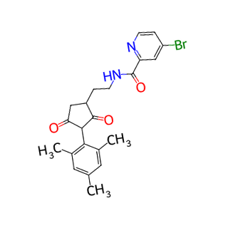 Cc1cc(C)c(C2C(=O)CC(CCNC(=O)c3cc(Br)ccn3)C2=O)c(C)c1